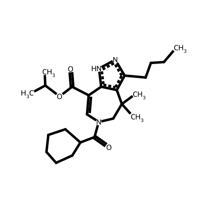 CCCCc1n[nH]c2c1C(C)(C)CN(C(=O)C1CCCCC1)C=C2C(=O)OC(C)C